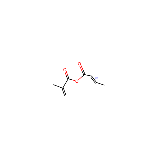 C=C(C)C(=O)OC(=O)/C=C/C